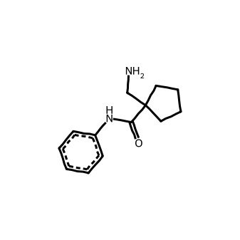 NCC1(C(=O)Nc2ccccc2)CCCC1